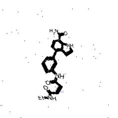 CCNC(=O)/C=C\C(=O)Nc1cccc(-c2ccc(C(N)=O)c3[nH]ccc23)c1